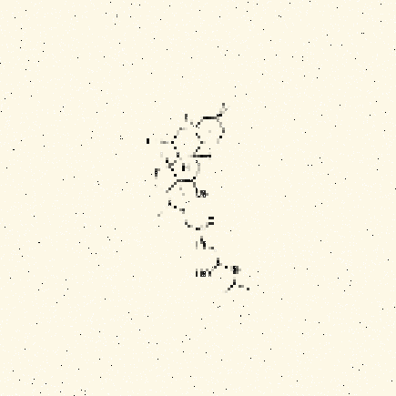 CC(C)NC(O)CNC(=O)CC[C@H](C)[C@@H]1CC[C@@H]2[C@@H]3[C@@H](C[C@@H](O)[C@]21C)[C@]1(C)CCC(=O)C[C@@H]1C[C@@H]3O